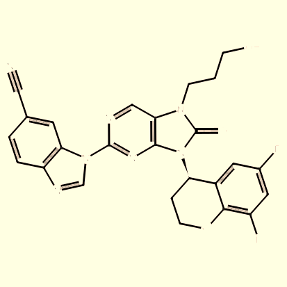 N#Cc1ccc2ncn(-c3ncc4c(n3)n([C@@H]3CCOc5c(F)cc(F)cc53)c(=O)n4CCCO)c2c1